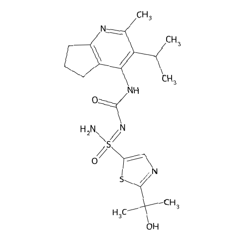 Cc1nc2c(c(NC(=O)N=S(N)(=O)c3cnc(C(C)(C)O)s3)c1C(C)C)CCC2